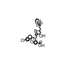 O=C(O)c1ccc2c(c1)N(C[C@H]1CC[C@H]1C(O)/C=C(\Br)CCCS(=O)(=O)c1ncccn1)CC1(CCCc3cc(Cl)ccc31)CO2